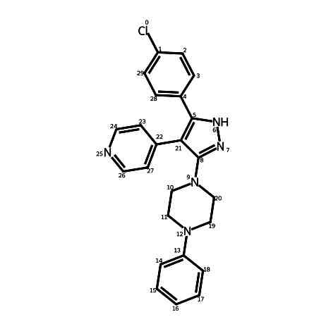 Clc1ccc(-c2[nH]nc(N3CCN(c4ccccc4)CC3)c2-c2ccncc2)cc1